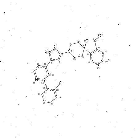 O=C1OC2(CCN(c3cc(-c4ccnc(-c5ccccc5F)n4)[nH]n3)CC2)c2cnccc21